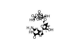 C[C@]1(O)[C@H](n2cnc3c(=O)[nH]c(N)nc32)O[C@@]2(COP(=O)(O)OP(=O)(O)OP(=O)(O)O)C[C@@]21F